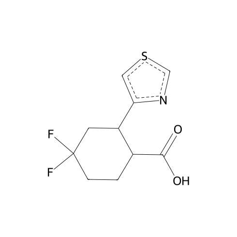 O=C(O)C1CCC(F)(F)CC1c1cscn1